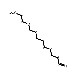 C=CCCCCCCCCOCCOC